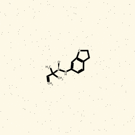 C=CC(C)(C)[S@@+]([O-])Nc1ccc2c(c1)OCC2